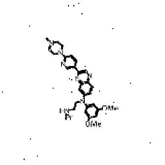 COc1cc(OC)cc(N(CCNC(C)C)c2ccc3ncc(-c4ccc(N5CCN(C)CC5)nc4)nc3c2)c1